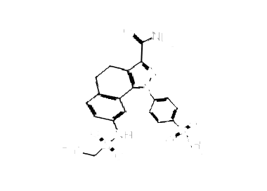 NC(=O)c1nn(-c2ccc(S(N)(=O)=O)cc2)c2c1CCc1ccc(NS(=O)(=O)CC(F)(F)F)cc1-2